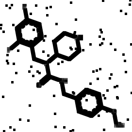 CCCCOc1ccc(CNC(=O)N(Cc2ccc(F)cc2F)C2CCNCC2)cc1